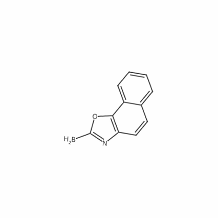 Bc1nc2ccc3ccccc3c2o1